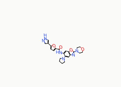 O=C(Nc1cc2oc(N3CCOCC3)nc2cc1N1CCCC1)c1ccc(-c2cn[nH]c2)o1